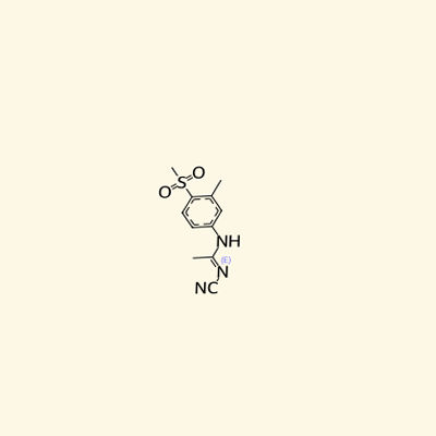 C/C(=N\C#N)Nc1ccc(S(C)(=O)=O)c(C)c1